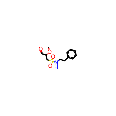 COC(C=O)CS(=O)(=O)NCCc1cc[c]cc1